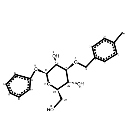 Cc1ccc(CO[C@@H]2[C@@H](O)[C@H](Oc3ccccc3)O[C@H](CO)[C@H]2O)cc1